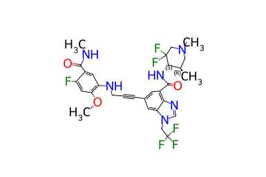 CNC(=O)c1cc(NCC#Cc2cc(C(=O)N[C@H]3[C@H](C)CN(C)CC3(F)F)c3ncn(CC(F)(F)F)c3c2)c(OC)cc1F